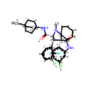 CCN1[C@@H](C(=O)NC23CCC(SC)(CC2)CC3)[C@H](c2cccc(Cl)c2F)[C@]2(C(=O)Nc3cc(Cl)ccc32)C12CCCCC2